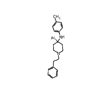 CC(=O)C1(Nc2ccc(C)cc2)CCN(CCc2ccccc2)CC1